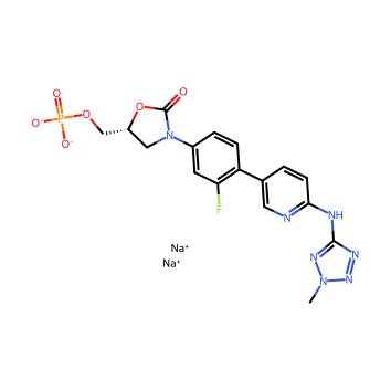 Cn1nnc(Nc2ccc(-c3ccc(N4C[C@H](COP(=O)([O-])[O-])OC4=O)cc3F)cn2)n1.[Na+].[Na+]